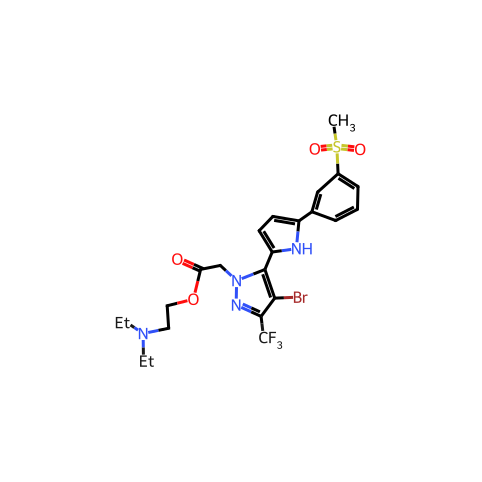 CCN(CC)CCOC(=O)Cn1nc(C(F)(F)F)c(Br)c1-c1ccc(-c2cccc(S(C)(=O)=O)c2)[nH]1